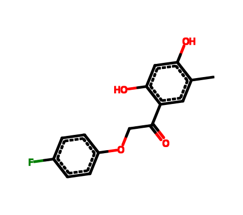 Cc1cc(C(=O)COc2ccc(F)cc2)c(O)cc1O